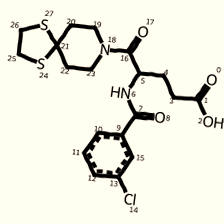 O=C(O)CCC(NC(=O)c1cccc(Cl)c1)C(=O)N1CCC2(CC1)SCCS2